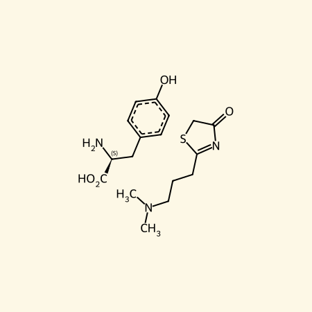 CN(C)CCCC1=NC(=O)CS1.N[C@@H](Cc1ccc(O)cc1)C(=O)O